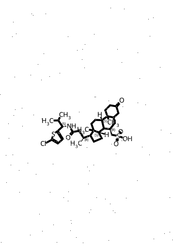 CC(C)[C@H](NC(=O)C[C@@H](C)C1CC[C@H]2C3[C@H](CS(=O)(=O)O)CC4CC(=O)CCC4(C)[C@H]3CCC12C)c1ccc(Cl)s1